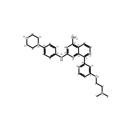 CN(C)CCOc1ccnc(-c2nccc3c(N)nc(Nc4ccc(N5CCOCC5)cc4)nc23)c1